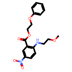 COCCNc1ccc([N+](=O)[O-])cc1C(=O)OCCOc1ccccc1